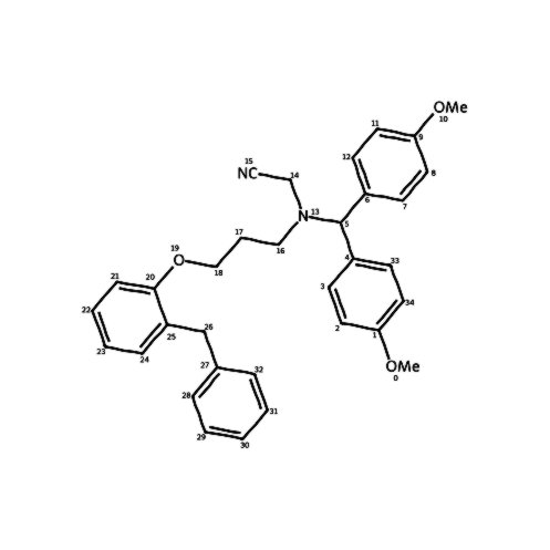 COc1ccc(C(c2ccc(OC)cc2)N(CC#N)CCCOc2ccccc2Cc2ccccc2)cc1